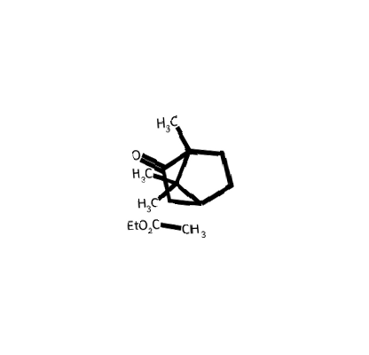 CC12CCC(CC1=O)C2(C)C.CCOC(C)=O